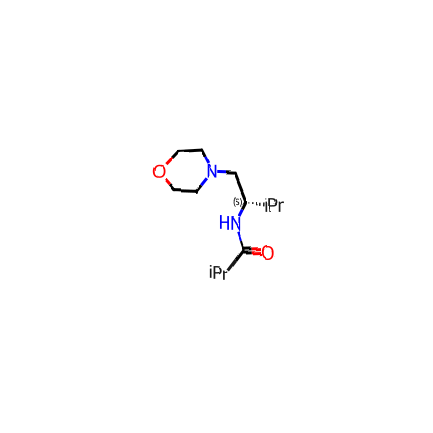 CC(C)C(=O)N[C@H](CN1CCOCC1)C(C)C